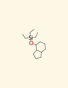 CC[Si](CC)(CC)OC1CCCC2CCCC21